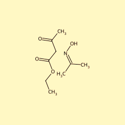 CC(C)=NO.CCOC(=O)CC(C)=O